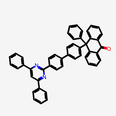 O=C1c2ccccc2C(c2ccccc2)(c2ccc(-c3ccc(-c4nc(-c5ccccc5)cc(-c5ccccc5)n4)cc3)cc2)c2ccccc21